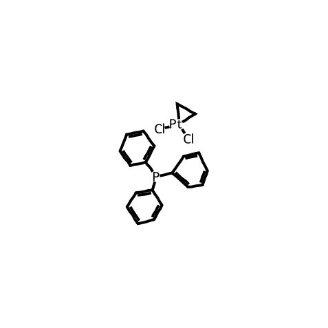 [Cl][Pt]1([Cl])[CH2][CH2]1.c1ccc(P(c2ccccc2)c2ccccc2)cc1